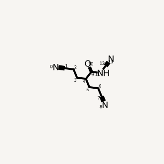 N#CCCC(CCC#N)C(=O)NC#N